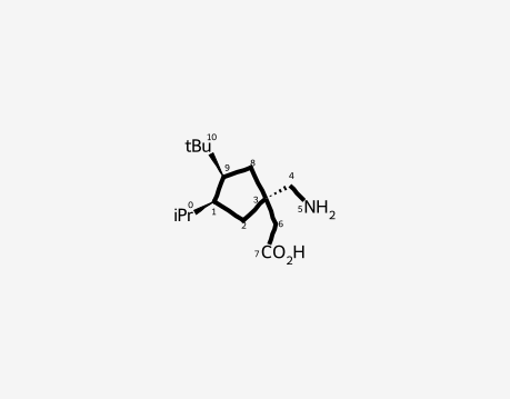 CC(C)[C@@H]1C[C@](CN)(CC(=O)O)C[C@@H]1C(C)(C)C